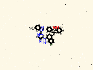 CC(C)(C[C@@H]1CC[C@@H](Nc2nc(-n3cnc4ccc(C#N)cc43)ncc2N)c2cc(F)ccc21)[Si](O)(c1ccccc1)c1ccccc1